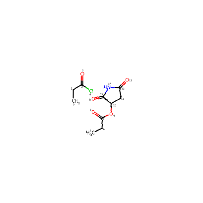 CCC(=O)Cl.CCC(=O)OC1CC(=O)NC1=O